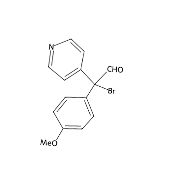 COc1ccc(C(Br)(C=O)c2ccncc2)cc1